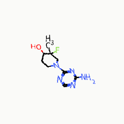 C[C@@]1(F)CN(c2ncnc(N)n2)CC[C@H]1O